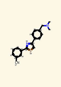 CN(C)Cc1ccc(-c2csc(-c3cccc(C#N)c3)n2)cc1